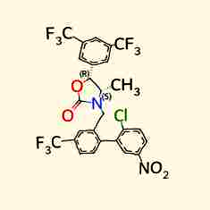 C[C@H]1[C@@H](c2cc(C(F)(F)F)cc(C(F)(F)F)c2)OC(=O)N1Cc1cc(C(F)(F)F)ccc1-c1cc([N+](=O)[O-])ccc1Cl